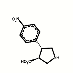 O=C(O)[C@@H]1CNC[C@H]1c1ccc([N+](=O)[O-])cc1